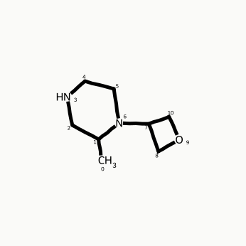 CC1CNCCN1C1COC1